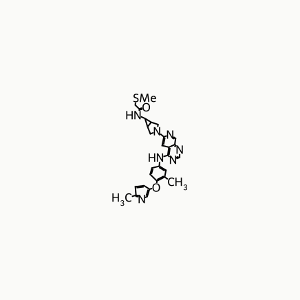 CSCC(=O)NC1C2CN(c3cc4c(Nc5ccc(Oc6ccc(C)nc6)c(C)c5)ncnc4cn3)CC21